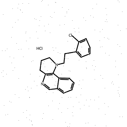 Cl.Clc1ccccc1CCN1CCCc2ncc3ccccc3c21